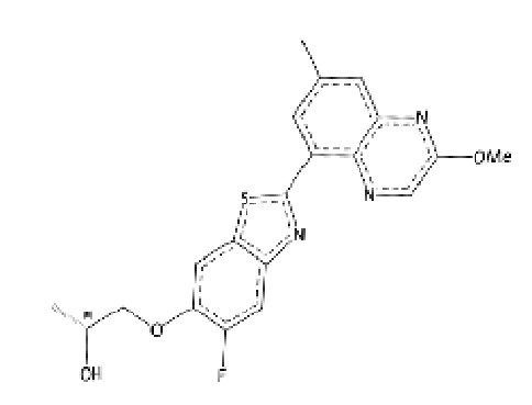 COc1cnc2c(-c3nc4cc(F)c(OC[C@@H](C)O)cc4s3)cc(C)cc2n1